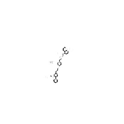 F.F.O=C(O)Nc1cc(CCCOc2ccc(CCNCC(O)c3ccc(O)c4[nH]c(=O)ccc34)cc2)ccc1-c1ccccc1